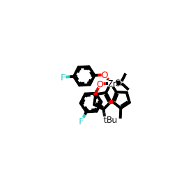 CC1=CC[C]([Zr]([O]c2ccc(F)cc2)([O]c2ccc(F)cc2)([C]2=CC(C(C)(C)C)=CC2)=[Si](C)C)=C1